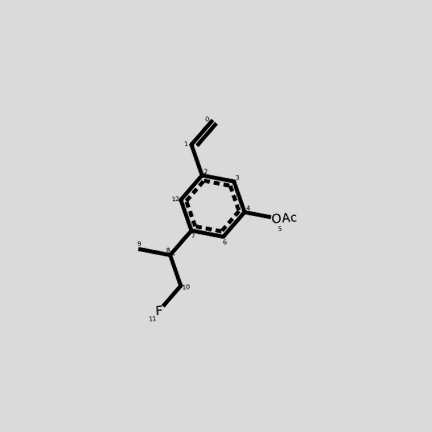 C=Cc1cc(OC(C)=O)cc([C](C)CF)c1